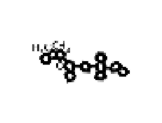 CC1(C)c2ccccc2-c2c1ccc1c2oc2c3ccccc3c(-c3ccc(-c4c5ccccc5c(-c5ccc6ccccc6c5)c5ccccc45)cc3)cc12